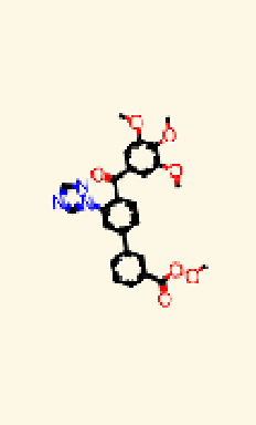 COOC(=O)c1cccc(-c2ccc(C(=O)c3cc(OC)c(OC)c(OC)c3)c(-n3cncn3)c2)c1